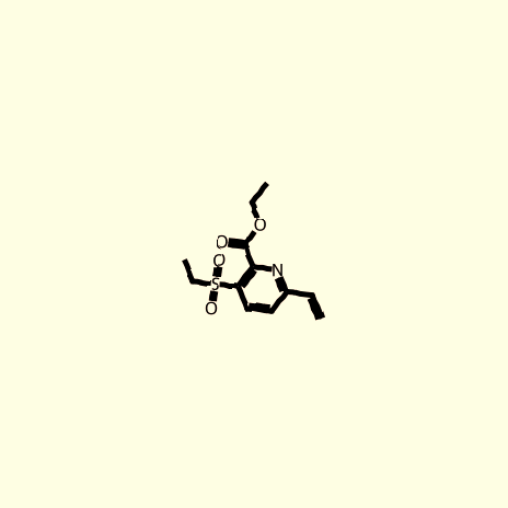 C=Cc1ccc(S(=O)(=O)CC)c(C(=O)OCC)n1